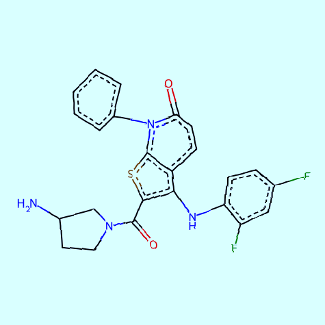 NC1CCN(C(=O)c2sc3c(ccc(=O)n3-c3ccccc3)c2Nc2ccc(F)cc2F)C1